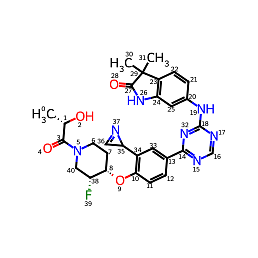 C[C@H](O)C(=O)N1CC[C@H](Oc2ccc(-c3ncnc(Nc4ccc5c(c4)NC(=O)C5(C)C)n3)cc2C2C=N2)[C@H](F)C1